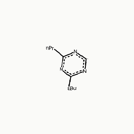 CCCc1n[c]nc(C(C)(C)C)n1